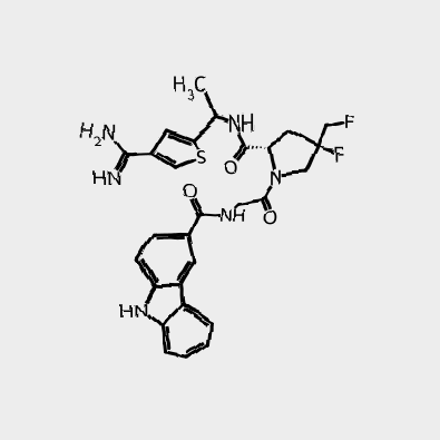 CC(NC(=O)[C@@H]1C[C@](F)(CF)CN1C(=O)CNC(=O)c1ccc2[nH]c3ccccc3c2c1)c1cc(C(=N)N)cs1